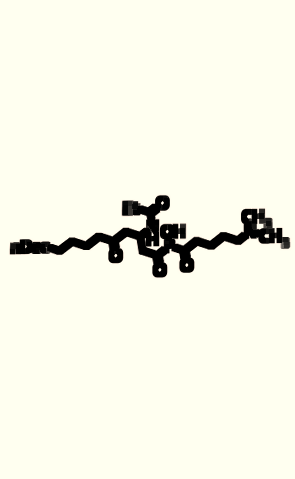 CCCCCCCCCCCCCCC(=O)CC(CC(=O)P(O)C(=O)CCCCN(C)C)NC(=O)CC